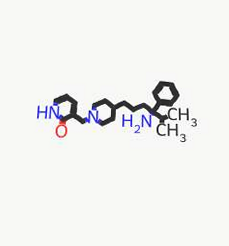 CC(C)C(N)(CCCC1CCN(Cc2ccc[nH]c2=O)CC1)c1ccccc1